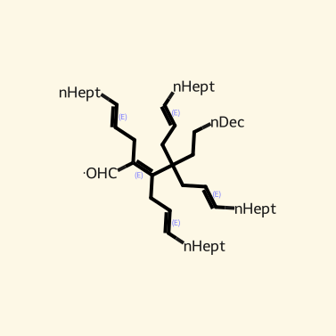 CCCCCCC/C=C/C/C([C]=O)=C(/C/C=C/CCCCCCC)C(C/C=C/CCCCCCC)(C/C=C/CCCCCCC)CCCCCCCCCCCC